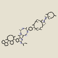 C=CC(=C)/C=C(\C=C/C(=C)C(=C)/C1=C/C(C)/C=C\C(=C)/C(c2ccc(-c3c(C)ccccc(C)c(/C(C)=C/C=C(\C)c4cccc(=C)ccccc4=C)c(=C)ccccc3=C)cc2)=C\C=C/C1=C)c1ccc(-c2c(=C)ccccc(=C)c(-c3cccc4ccccc34)c3ccccc23)cc1